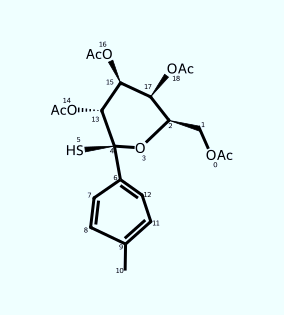 CC(=O)OC[C@H]1O[C@](S)(c2ccc(C)cc2)[C@H](OC(C)=O)[C@@H](OC(C)=O)[C@H]1OC(C)=O